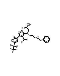 CC(C)(C)C(F)(F)c1cc(-c2onc([C@@H](CCCOCc3ccccc3)CC(=O)O)c2C(F)F)no1